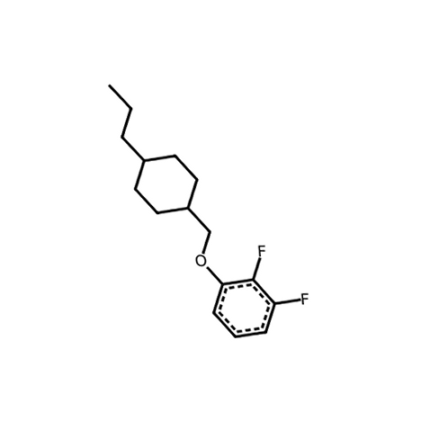 CCCC1CCC(COc2cccc(F)c2F)CC1